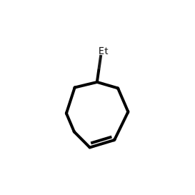 [CH2]CC1CCC=CCCC1